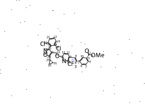 COC(=O)c1cccc(/C=C/c2ccc(OCc3c(-c4c(Cl)cccc4Cl)noc3C3CC3)nc2C(F)(F)F)c1